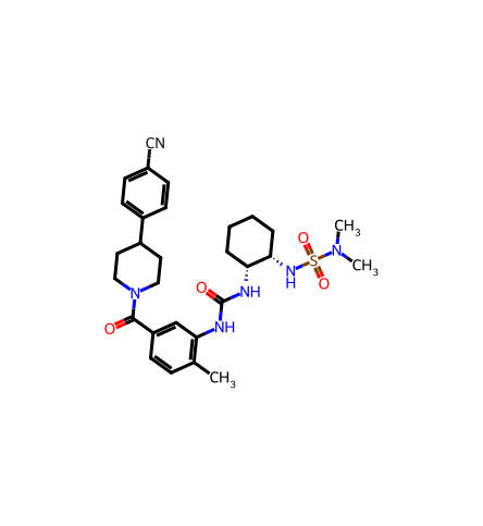 Cc1ccc(C(=O)N2CCC(c3ccc(C#N)cc3)CC2)cc1NC(=O)N[C@@H]1CCCC[C@@H]1NS(=O)(=O)N(C)C